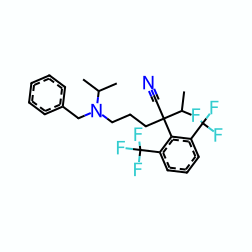 CC(C)N(CCCC(C#N)(c1c(C(F)(F)F)cccc1C(F)(F)F)C(C)C)Cc1ccccc1